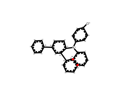 Clc1ccc(N(c2ccccc2)c2ccc(-c3ccccc3)cc2-c2ccccc2)cc1